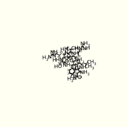 CC(C)C[C@H](NC(=O)[C@@H](N)CC(N)=O)C(=O)N[C@@H](Cc1ccc(O)cc1)C(=O)N[C@@H](CCCNC(=N)N)C(=O)N[C@H](C(=O)N[C@@H](CCCNC(=N)N)C(=O)N[C@@H](CO)C(N)=O)C(C)C